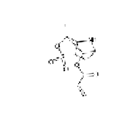 C=CC(=O)OC1C2CC3C(N2)C1(C)OS3(=O)=O